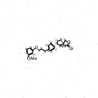 COc1cccc(OCCCc2ccc([C@@H]3CC[C@]4(COC(=O)N4)C3)cc2)c1